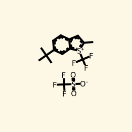 Cc1cc2ccc(C(C)(C)C)cc2[s+]1C(F)(F)F.O=S(=O)([O-])C(F)(F)F